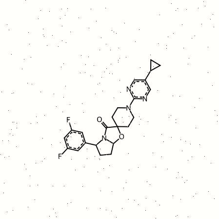 O=C1N2C(CCC2c2cc(F)cc(F)c2)OC12CCN(c1ncc(C3CC3)cn1)CC2